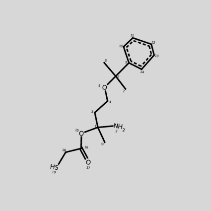 CC(N)(CCOC(C)(C)c1ccccc1)OC(=O)CS